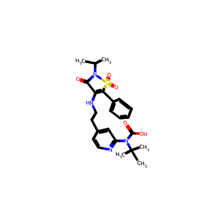 CC(C)N1C(=O)C(NCCc2ccnc(N(C(=O)O)C(C)(C)C)c2)=C(c2ccccc2)S1(=O)=O